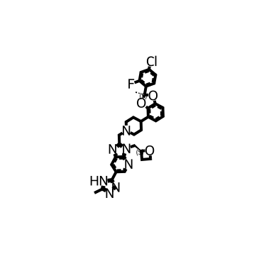 Cc1nnc(-c2cnc3c(c2)nc(CN2CCC(c4cccc5c4O[C@@](C)(c4ccc(Cl)cc4F)O5)CC2)n3C[C@@H]2CCO2)[nH]1